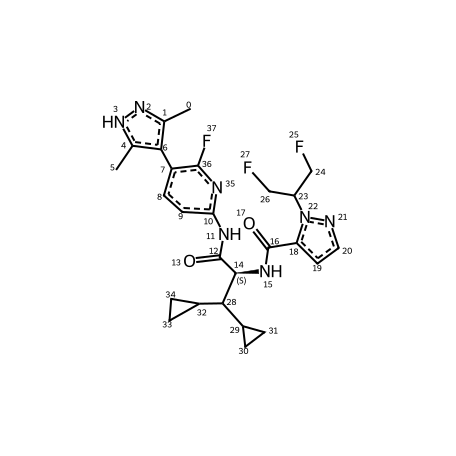 Cc1n[nH]c(C)c1-c1ccc(NC(=O)[C@@H](NC(=O)c2ccnn2C(CF)CF)C(C2CC2)C2CC2)nc1F